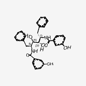 O=C(N[C@@H](Cc1ccccc1)[C@H](O)[C@H](O)[C@H](Cc1ccccc1)NC(=O)c1cccc(O)c1)c1cccc(O)c1